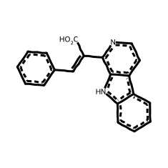 O=C(O)C(=Cc1ccccc1)c1nccc2c1[nH]c1ccccc12